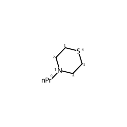 [CH2]CCN1CCSCC1